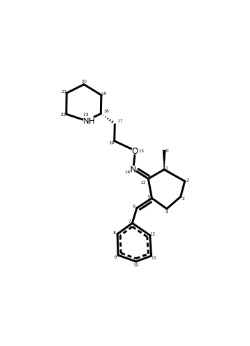 C[C@H]1CCCC(=C\c2ccccc2)/C1=N/OCC[C@H]1CCCCN1